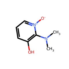 CN(C)c1c(O)ccc[n+]1[O-]